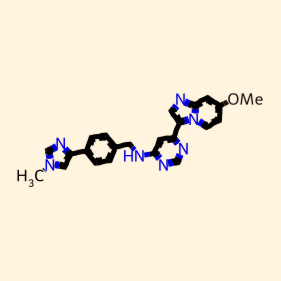 COc1ccn2c(-c3cc(NCc4ccc(-c5cn(C)cn5)cc4)ncn3)cnc2c1